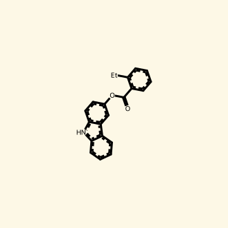 CCc1ccccc1C(=O)Oc1ccc2[nH]c3ccccc3c2c1